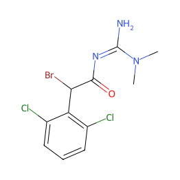 CN(C)C(N)=NC(=O)C(Br)c1c(Cl)cccc1Cl